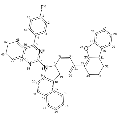 Fc1ccc(-c2nc(N3c4ccc5ccccc5c4C4C=C(C5=C6Oc7ccccc7C6CC=C5)C=CC43)nc3c2=CCCC=3)cc1